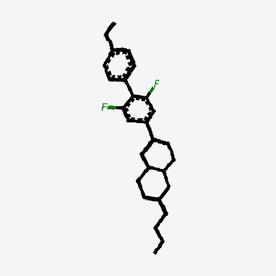 CCCCC1CCC2CC(c3cc(F)c(-c4ccc(CC)cc4)c(F)c3)CCC2C1